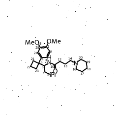 COc1ccc(C2(C(CC(C)C)NC(=O)CCCN3CCCCC3)CCC2)cc1OC